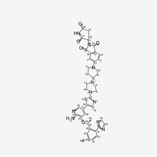 Cc1nc(N2CCN(C3CCN(c4ccc5c(c4)C(=O)N(C4CCC(=O)NC4=O)C5=O)CC3)CC2)sc1-c1cnc(N)c(O[C@@H](C)c2cc(F)ccc2-n2nccn2)c1